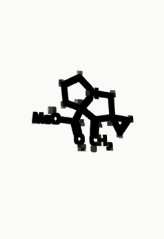 C=C1C2(CC2)CN2CCCC12C(=O)OC